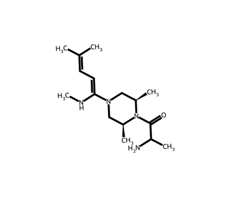 CN/C(=C\C=C(C)C)N1C[C@@H](C)N(C(=O)C(C)N)[C@@H](C)C1